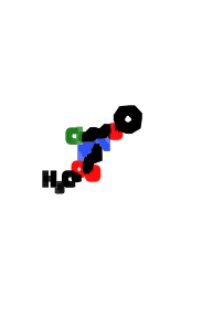 CCOC(=O)c1cc2nc(COC3CCCCCC3)cc(Cl)n2n1